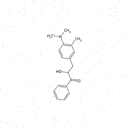 Cc1cc(CC(O)C(=O)c2ccccc2)ccc1N(C)C